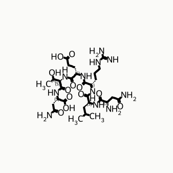 CC(C)C[C@H](NC(=O)[C@@H](N)CC(N)=O)C(=O)N[C@@H](CCCNC(=N)N)C(=O)N[C@@H](CCC(=O)O)C(=O)N[C@H](C(=O)N[C@@H](CC(N)=O)C(=O)O)[C@@H](C)O